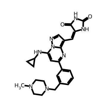 CN1CCN(Cc2cccc(-c3cc(NC4CC4)n4ncc(/C=C5/NC(=O)NC5=O)c4n3)c2)CC1